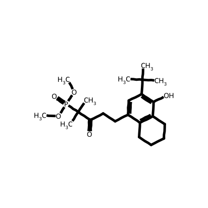 COP(=O)(OC)C(C)(C)C(=O)CCc1cc(C(C)(C)C)c(O)c2c1CCCC2